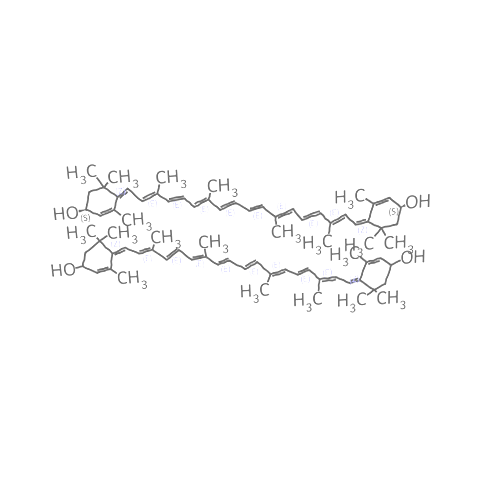 CC1=CC(O)CC(C)(C)/C1=C/C=C(C)/C=C/C=C(C)/C=C/C=C/C(C)=C/C=C/C(C)=C/C=C1\C(C)=CC(O)CC1(C)C.CC1=C[C@@H](O)CC(C)(C)/C1=C/C=C(C)/C=C/C=C(C)/C=C/C=C/C(C)=C/C=C/C(C)=C/C=C1\C(C)=C[C@@H](O)CC1(C)C